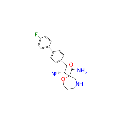 N#C[C@H](Cc1ccc(-c2ccc(F)cc2)cc1)C1(C(N)=O)CNCCCO1